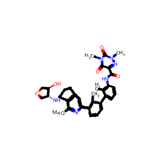 COc1nc(-c2cccc(-c3cccc(NC(=O)c4nn(C)c(=O)n(C)c4=O)c3C)c2C)cc2c1[C@H](N[C@@H]1COC[C@H]1O)CC2